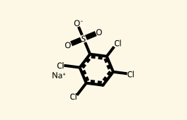 O=S(=O)([O-])c1c(Cl)c(Cl)cc(Cl)c1Cl.[Na+]